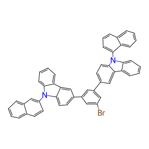 Brc1cc(-c2ccc3c(c2)c2ccccc2n3-c2ccc3ccccc3c2)cc(-c2ccc3c(c2)c2ccccc2n3-c2cccc3ccccc23)c1